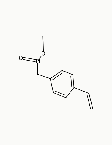 C=Cc1ccc(C[PH](=O)OC)cc1